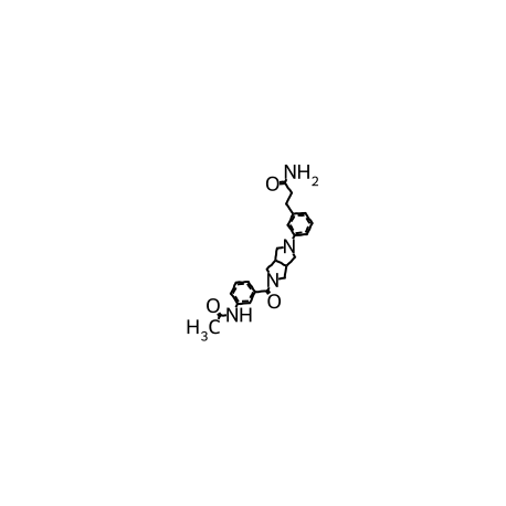 CC(=O)Nc1cccc(C(=O)N2CC3CN(c4cccc(CCC(N)=O)c4)CC3C2)c1